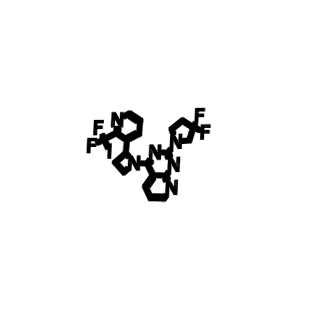 FC1(F)CCN(c2nc(N3CCC3c3cccnc3C(F)(F)I)c3cccnc3n2)C1